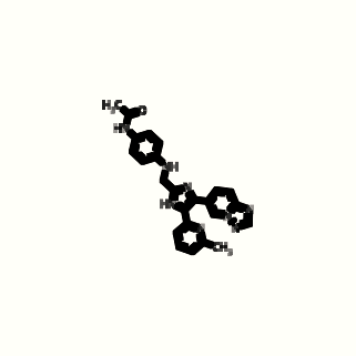 CC(=O)Nc1ccc(NCc2nc(-c3ccc4ncnn4c3)c(-c3cccc(C)n3)[nH]2)cc1